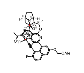 COCOc1cc(-c2nc3c4c(nc([S+](C)[O-])nc4c2F)N2C[C@H]4CC[C@@H]([C@H]2[C@H](C)O3)N4C(=O)OC(C)(C)C)c2c(C#C[Si](C(C)C)(C(C)C)C(C)C)c(F)ccc2c1